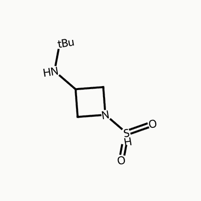 CC(C)(C)NC1CN([SH](=O)=O)C1